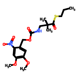 CCCSC(=O)C(C)(C)CNC(=O)OCc1cc(OC)c(OC)cc1[N+](=O)[O-]